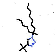 CCCCCCCC(C)(CCCCC)n1cc(C(C)(C)C)nn1